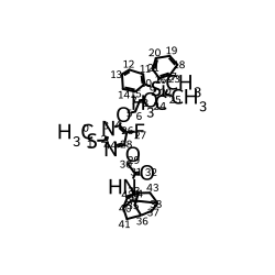 CSc1nc(OCCO[Si](c2ccccc2)(c2ccccc2)C(C)(C)C)c(F)c(OCC(=O)NC23CC4CC(CC(C4)C2)C3)n1